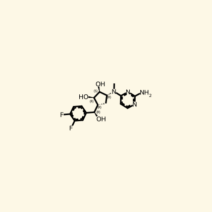 CN(c1ccnc(N)n1)[C@@H]1C[C@H]([C@@H](O)c2ccc(F)c(F)c2)[C@@H](O)[C@H]1O